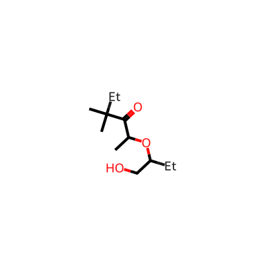 CCC(CO)OC(C)C(=O)C(C)(C)CC